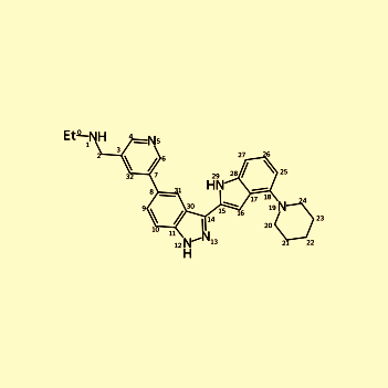 CCNCc1cncc(-c2ccc3[nH]nc(-c4cc5c(N6CCCCC6)cccc5[nH]4)c3c2)c1